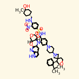 CC(C)c1ccccc1[C@@H]1COCCC12CN(C1CCN(c3ccc(C(=O)NS(=O)(=O)c4ccc(NC[C@H]5CC[C@](C)(O)CC5)c([N+](=O)[O-])c4)c(N4c5cc6cc[nH]c6nc5O[C@H]5COCC[C@@H]54)c3)CC1)C2